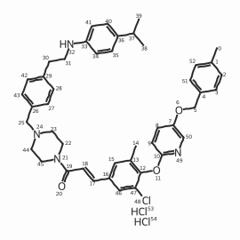 Cc1ccc(COc2ccc(Oc3c(C)cc(C=CC(=O)N4CCN(Cc5ccc(CCNc6ccc(C(C)C)cc6)cc5)CC4)cc3Cl)nc2)cc1.Cl.Cl